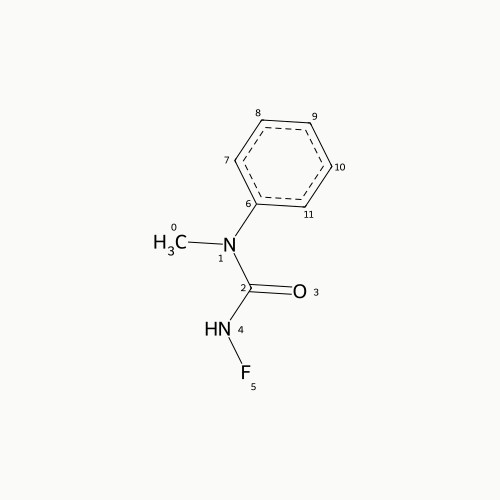 CN(C(=O)NF)c1ccccc1